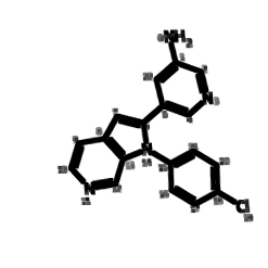 Nc1cncc(-c2cc3ccncc3n2-c2ccc(Cl)cc2)c1